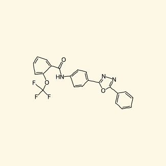 O=C(Nc1ccc(-c2nnc(-c3ccccc3)o2)cc1)c1ccccc1OC(F)(F)F